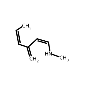 C=C(/C=C\C)/C=C\NC